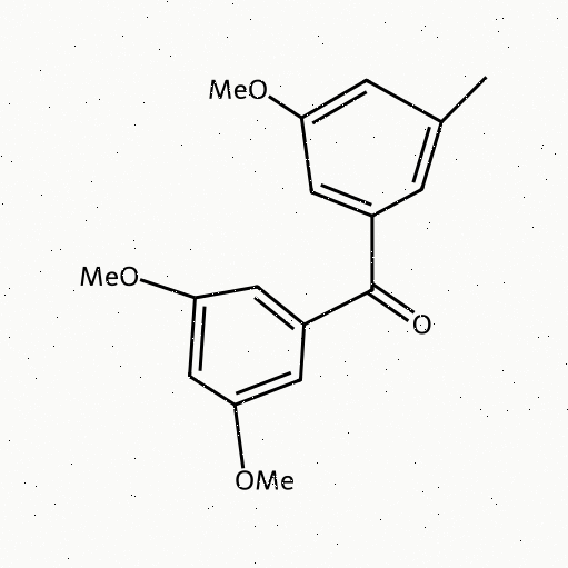 COc1cc(C)cc(C(=O)c2cc(OC)cc(OC)c2)c1